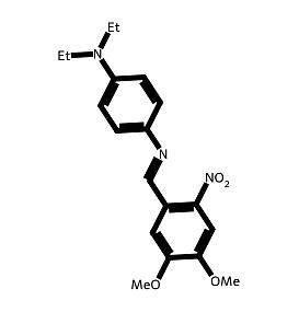 CCN(CC)c1ccc(N=Cc2cc(OC)c(OC)cc2[N+](=O)[O-])cc1